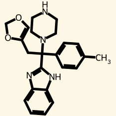 Cc1ccc(C(CC2=COCO2)(c2nc3ccccc3[nH]2)N2CCNCC2)cc1